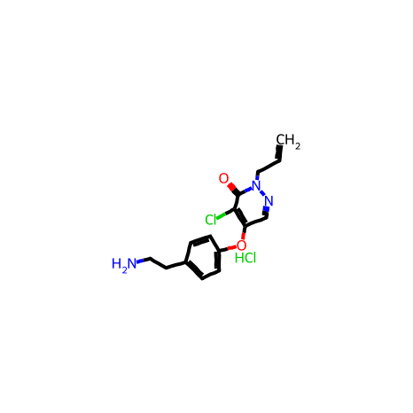 C=CCn1ncc(Oc2ccc(CCN)cc2)c(Cl)c1=O.Cl